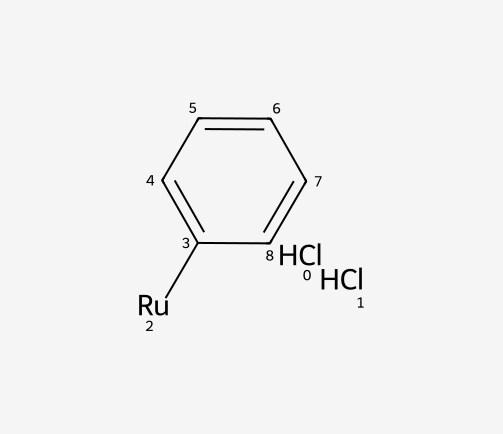 Cl.Cl.[Ru][c]1ccccc1